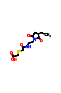 CC[C@@H]1CC(=O)N(CCNC(=O)CSCC(=O)O)C1=O